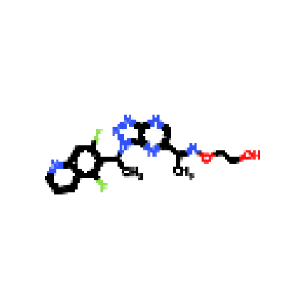 CC(=NOCCO)c1cnc2nnn(C(C)c3c(F)cc4ncccc4c3F)c2n1